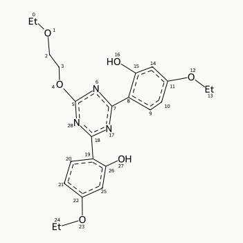 CCOCCOc1nc(-c2ccc(OCC)cc2O)nc(-c2ccc(OCC)cc2O)n1